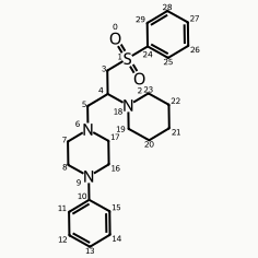 O=S(=O)(CC(CN1CCN(c2ccccc2)CC1)N1CCCCC1)c1ccccc1